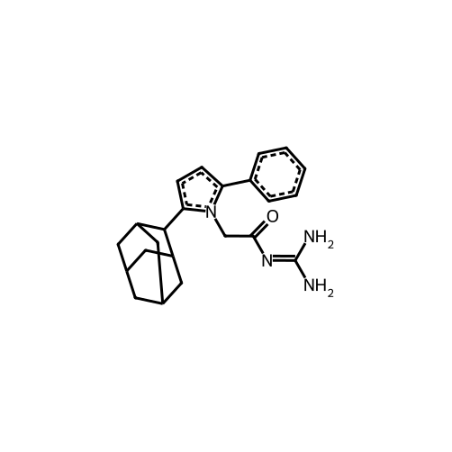 NC(N)=NC(=O)Cn1c(-c2ccccc2)ccc1C1C2CC3CC(C2)CC1C3